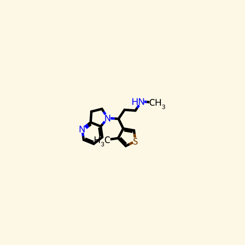 CNCCC(c1cscc1C)N1CCc2ncccc21